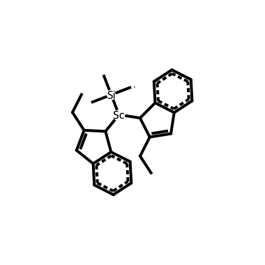 [CH2][Si](C)(C)[Sc]([CH]1C(CC)=Cc2ccccc21)[CH]1C(CC)=Cc2ccccc21